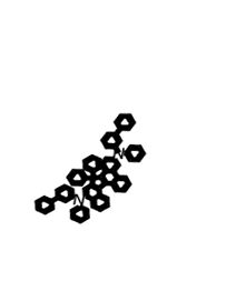 c1ccc(-c2cccc(N(c3ccccc3)c3ccc4c5c(c6ccccc6c4c3)-c3c(cc(N(c4ccccc4)c4cccc(-c6ccccc6)c4)c4ccccc34)C5(c3ccccc3)c3ccccc3)c2)cc1